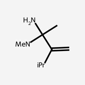 C=C(C(C)C)C(C)(N)NC